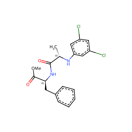 COC(=O)[C@H](Cc1ccccc1)NC(=O)[C@H](C)Nc1cc(Cl)cc(Cl)c1